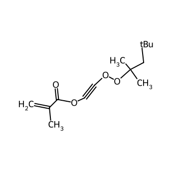 C=C(C)C(=O)OC#COOC(C)(C)CC(C)(C)C